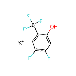 Oc1cc(F)c(F)cc1[B-](F)(F)F.[K+]